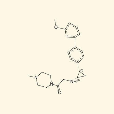 COc1cccc(-c2ccc([C@@H]3C[C@@H]3NCC(=O)N3CCN(C)CC3)cc2)c1